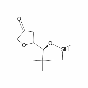 C[SiH](C)O[C@H](C1CC(=O)CO1)C(C)(C)C